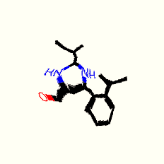 C=C(C)c1ccccc1C1=C(C=O)NC(C(C)C)N1